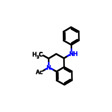 CC(=O)N1c2ccccc2C(Nc2ccccc2)CC1C